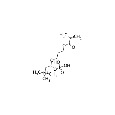 C=C(C)C(=O)OCCCOC(C[N+](C)(C)C)OP(=O)(O)O